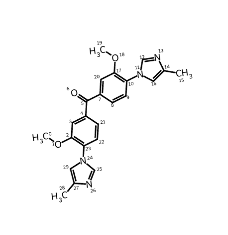 COc1cc(C(=O)c2ccc(-n3cnc(C)c3)c(OC)c2)ccc1-n1cnc(C)c1